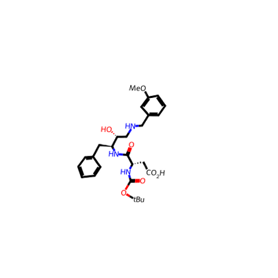 COc1cccc(CNC[C@@H](O)[C@H](Cc2ccccc2)NC(=O)[C@H](CC(=O)O)NC(=O)OC(C)(C)C)c1